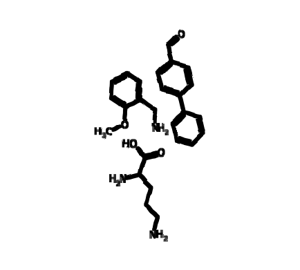 COc1ccccc1CN.NCCCC(N)C(=O)O.O=Cc1ccc(-c2ccccc2)cc1